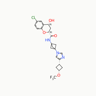 O=C(NC12CC(n3cnc([C@H]4C[C@@H](OC(F)(F)F)C4)c3)(C1)C2)[C@H]1C[C@@H](O)c2cc(Cl)ccc2O1